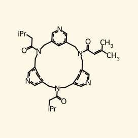 CC(C)=CC(=O)N1Cc2cncc(c2)CN(C(=O)CC(C)C)Cc2cncc(c2)CN(C(=O)CC(C)C)Cc2cncc(c2)C1